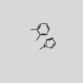 Cc1ccccc1C.Cn1cccc1